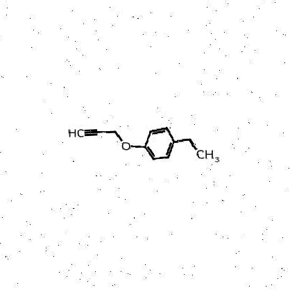 C#CCOc1c[c]c(CC)cc1